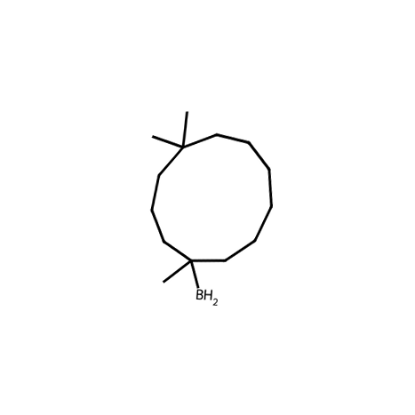 BC1(C)CCCCCCC(C)(C)CCC1